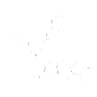 COCC(=O)OCCOC(CCC(=O)O)Oc1cc(Oc2nn(C)c(C(F)(F)F)c2Cl)ccc1[N+](=O)[O-]